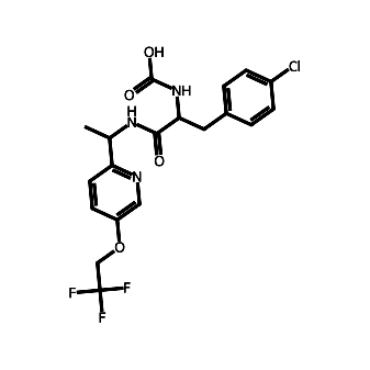 CC(NC(=O)C(Cc1ccc(Cl)cc1)NC(=O)O)c1ccc(OCC(F)(F)F)cn1